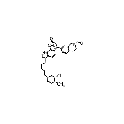 Cc1ccc(CC/C=C\Cn2nnc3c(C)c(C(CC=O)c4ccc5c(c4)CN(C=O)CC5)ccc32)cc1Cl